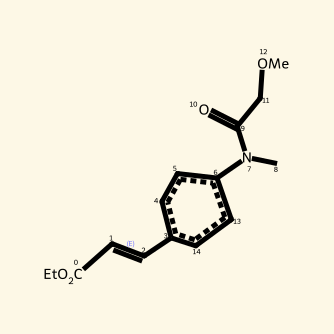 CCOC(=O)/C=C/c1ccc(N(C)C(=O)COC)cc1